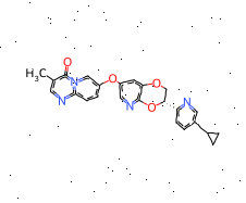 Cc1cnc2ccc(Oc3cnc4c(c3)OC[C@H](c3ccc(C5CC5)cn3)O4)cn2c1=O